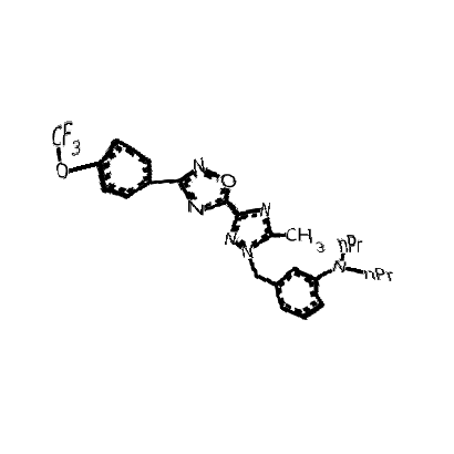 CCCN(CCC)c1cccc(Cn2nc(-c3nc(-c4ccc(OC(F)(F)F)cc4)no3)nc2C)c1